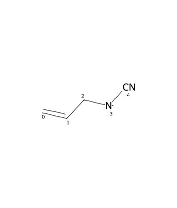 C=CC[N]C#N